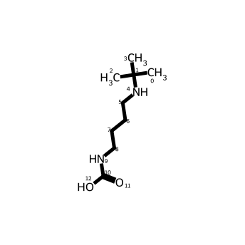 CC(C)(C)NCCCCNC(=O)O